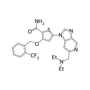 CCN(CC)Cc1cc2c(cn1)ncn2-c1cc(OCc2ccccc2C(F)(F)F)c(C(N)=O)s1